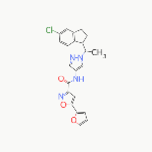 CC(C1CCc2cc(Cl)ccc21)n1cc(NC(=O)c2cc(-c3ccco3)on2)cn1